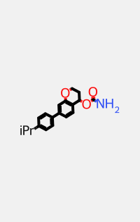 CC(C)c1ccc(-c2ccc3c(c2)OCCC3OC(N)=O)cc1